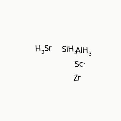 [AlH3].[Sc].[SiH4].[SrH2].[Zr]